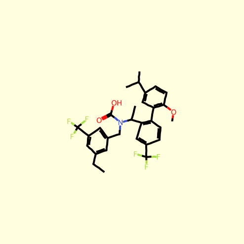 CCc1cc(CN(C(=O)O)C(C)c2cc(C(F)(F)F)ccc2-c2cc(C(C)C)ccc2OC)cc(C(F)(F)F)c1